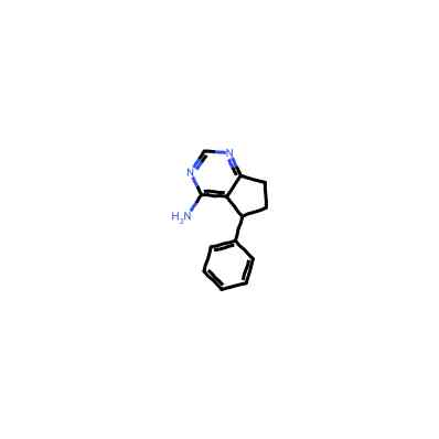 Nc1ncnc2c1C(c1ccccc1)CC2